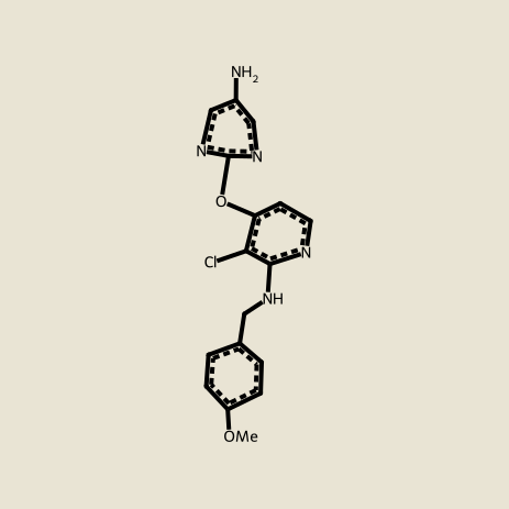 COc1ccc(CNc2nccc(Oc3ncc(N)cn3)c2Cl)cc1